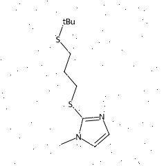 Cn1ccnc1SCCCSC(C)(C)C